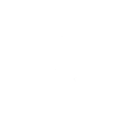 O=S(=O)(c1c(F)c(F)[c]c(F)c1F)C1CCCCC1